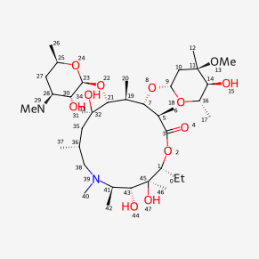 CC[C@H]1OC(=O)[C@H](C)[C@@H](O[C@@H]2C[C@@](C)(OC)[C@@H](O)[C@H](C)O2)[C@H](C)[C@@H](O[C@@H]2O[C@H](C)C[C@H](NC)[C@H]2O)[C@](C)(O)C[C@@H](C)CN(C)[C@H](C)[C@@H](O)[C@]1(C)O